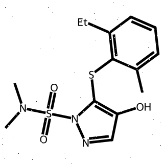 CCc1cccc(C)c1Sc1c(O)cnn1S(=O)(=O)N(C)C